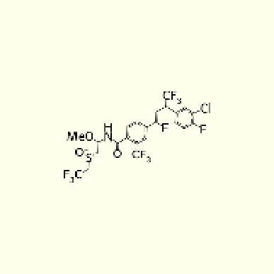 COC(C[S+]([O-])CC(F)(F)F)NC(=O)c1ccc(/C(F)=C/C(c2ccc(F)c(Cl)c2)C(F)(F)F)cc1C(F)(F)F